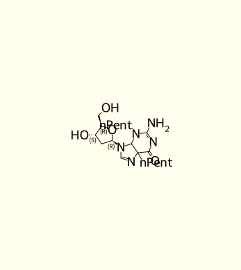 CCCCCN1C(N)=NC(=O)C2(CCCCC)N=CN([C@H]3C[C@H](O)[C@@H](CO)O3)C12